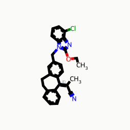 CCOc1nc2c(Cl)cccc2n1Cc1ccc2c(c1)CCc1ccccc1/C2=C(/C)C#N